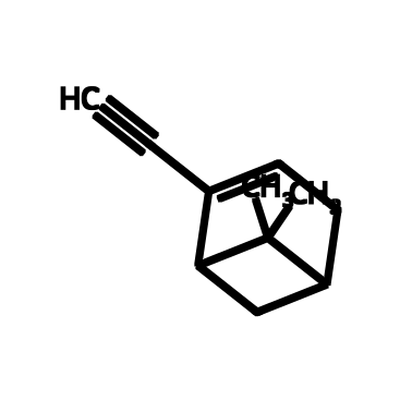 C#CC1=CCC2CC1C2(C)C